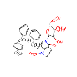 O=C(O)c1ccccc1.O=C(O)c1ccccc1.O=C(O)c1ccccc1.O=c1c2c(ccn1[C@@H]1O[C@H](CO)[C@@H](O)[C@H]1O)N(O)CC=C2